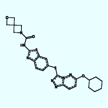 O=C(Nc1nc2ccc(Sc3nnc4ccc(OC5CCCCC5)nn34)cc2s1)N1CC2(COC2)C1